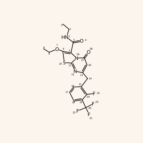 CCNC(=O)c1c(OCC)sc2nc(Cc3cccc(C(F)(F)F)c3F)cc(=O)n12